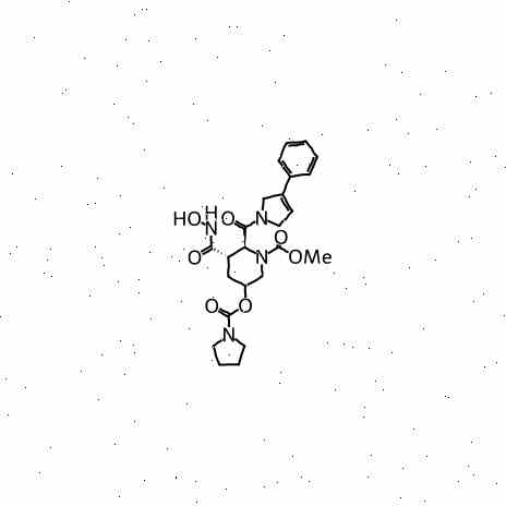 COC(=O)N1CC(OC(=O)N2CCCC2)C[C@H](C(=O)NO)[C@H]1C(=O)N1CC=C(c2ccccc2)C1